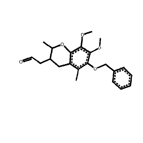 COc1c(OCc2ccccc2)c(C)c2c(c1OC)OC(C)C(CC=O)C2